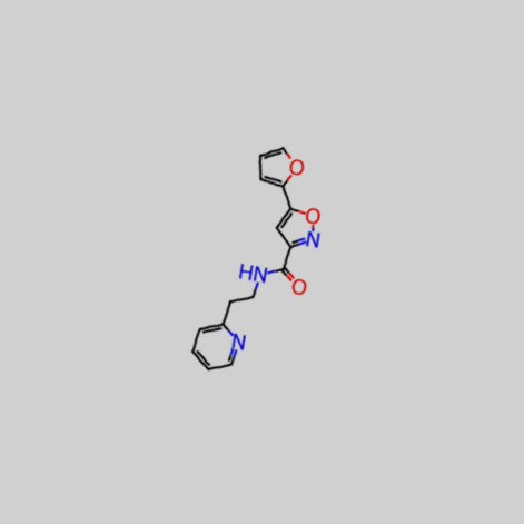 O=C(NCCc1ccccn1)c1cc(-c2ccco2)on1